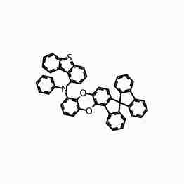 c1ccc(N(c2cccc3c2Oc2ccc4c(c2O3)-c2ccccc2C42c3ccccc3-c3ccccc32)c2cccc3sc4ccccc4c23)cc1